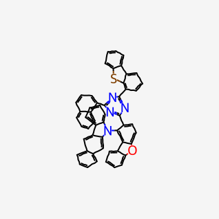 c1ccc2cc3c(cc2c1)c1ccccc1n3-c1c(-c2nc(-c3cccc4ccccc34)nc(-c3cccc4c3sc3ccccc34)n2)ccc2oc3ccccc3c12